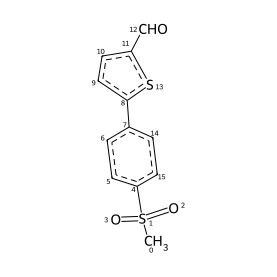 CS(=O)(=O)c1ccc(-c2ccc(C=O)s2)cc1